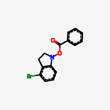 O=C(ON1CCc2c(Br)cccc21)c1ccccc1